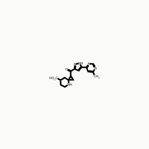 Cc1cc(-c2cc(C(=O)C3CC34CC(C(=O)O)CCN4)n[nH]2)ncn1